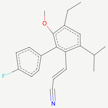 CCc1cc(C(C)C)c(/C=C/C#N)c(-c2ccc(F)cc2)c1OC